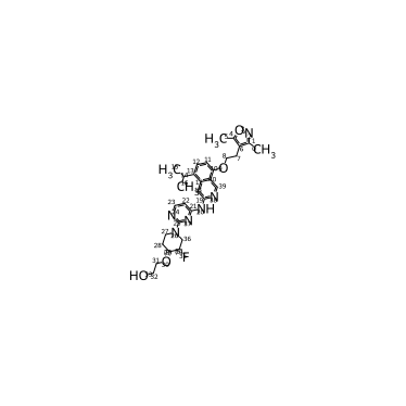 Cc1noc(C)c1CCOc1ccc(C(C)C)c2cc(Nc3ccnc(N4CC[C@@H](OCCO)[C@@H](F)C4)n3)ncc12